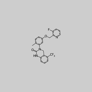 Cc1ccc(OCc2ncccc2F)cc1N1Cc2c(cccc2C(F)(F)F)NC1=O